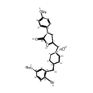 COc1ccc(N2CC(CN3CCC(Cc4cc(OC)ccc4Br)CC3)OC2=O)cc1.Cl